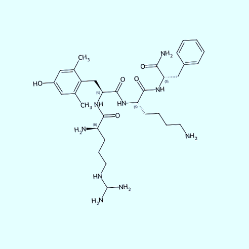 Cc1cc(O)cc(C)c1C[C@H](NC(=O)[C@H](N)CCCNC(N)N)C(=O)N[C@@H](CCCCN)C(=O)N[C@@H](Cc1ccccc1)C(N)=O